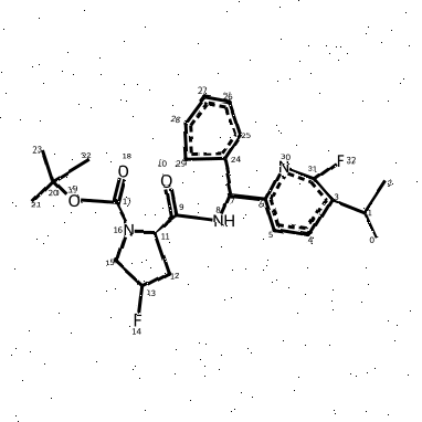 CC(C)c1ccc(C(NC(=O)[C@H]2CC(F)CN2C(=O)OC(C)(C)C)c2ccccc2)nc1F